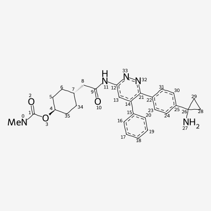 CNC(=O)O[C@H]1CC[C@H](CC(=O)Nc2cc(-c3ccccc3)c(-c3ccc(C4(N)CC4)cc3)nn2)CC1